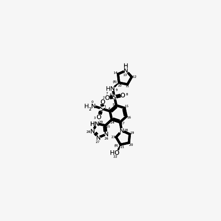 NS(=O)(=O)c1c(S(=O)(=O)N[C@@H]2CCNC2)ccc(N2CC[C@@H](O)C2)c1-c1nnn[nH]1